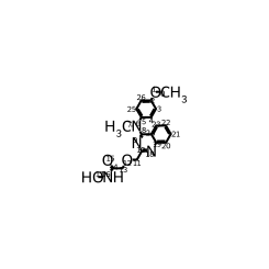 COc1ccc(N(C)c2nc(COCC(=O)NO)nc3ccccc23)cc1